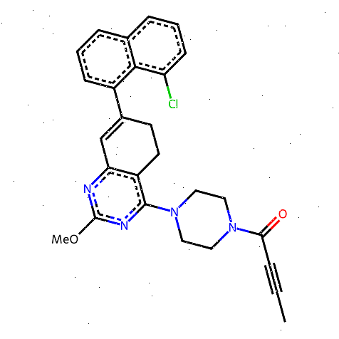 CC#CC(=O)N1CCN(c2nc(OC)nc3c2CCC(c2cccc4cccc(Cl)c24)=C3)CC1